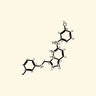 Cc1cccc(SCc2nnc3ccc(Nc4cccc(Cl)c4)nn23)c1